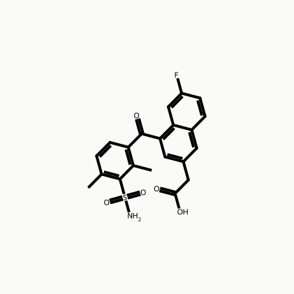 Cc1ccc(C(=O)c2cc(CC(=O)O)cc3ccc(F)cc23)c(C)c1S(N)(=O)=O